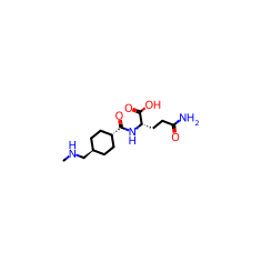 CNC[C@H]1CC[C@H](C(=O)N[C@@H](CCC(N)=O)C(=O)O)CC1